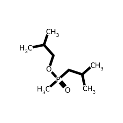 CC(C)COP(C)(=O)CC(C)C